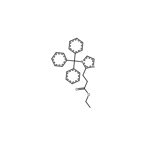 CCOC(=O)CCc1nccn1C(c1ccccc1)(c1ccccc1)c1ccccc1